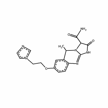 CC1c2cc(OCCn3ccnc3)ccc2N=C2NC(=O)C(C(N)=O)N21